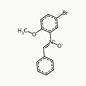 COc1ccc(Br)cc1[N+]([O-])=Cc1ccccc1